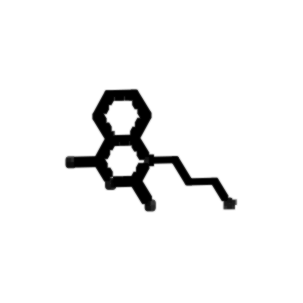 O=c1oc(=O)n(CCCBr)c2ccccc12